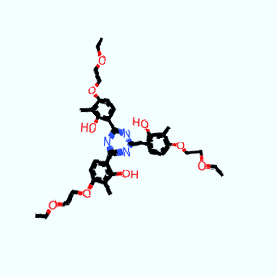 CCOCCOc1ccc(-c2nc(-c3ccc(OCCOCC)c(C)c3O)nc(-c3ccc(OCCOCC)c(C)c3O)n2)c(O)c1C